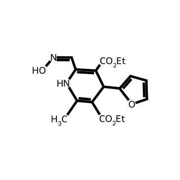 CCOC(=O)C1=C(C)NC(/C=N\O)=C(C(=O)OCC)C1c1ccco1